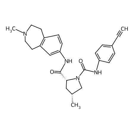 C#Cc1ccc(NC(=O)N2C[C@H](C)C[C@@H]2C(=O)Nc2ccc3c(c2)CCN(C)CC3)cc1